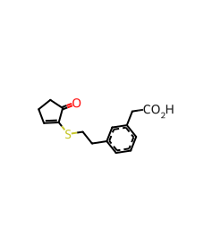 O=C(O)Cc1cccc(CCSC2=CCCC2=O)c1